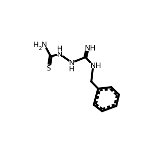 N=C(NCc1ccccc1)NNC(N)=S